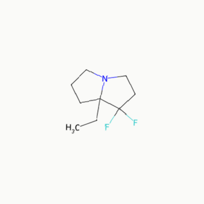 CCC12CCCN1CCC2(F)F